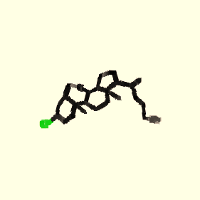 CC(C)CCCC(C)C1CCC2C3CC=C4CC(Cl)CCC4(C)C3CCC12C